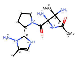 COC(=O)N[C@](N)(C(=O)N1CCC[C@H]1C1NC=C(C)N1N)[C@@](C)(N)OC